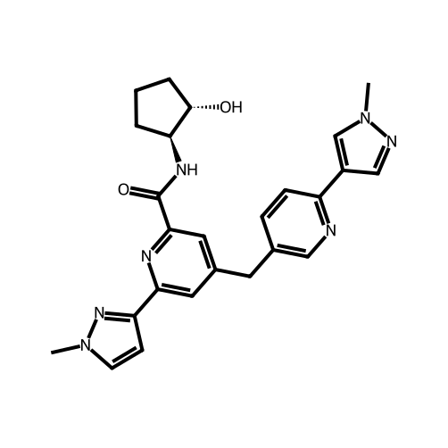 Cn1cc(-c2ccc(Cc3cc(C(=O)N[C@H]4CCC[C@@H]4O)nc(-c4ccn(C)n4)c3)cn2)cn1